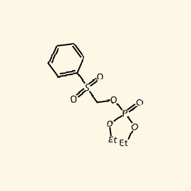 CCOP(=O)(OCC)OCS(=O)(=O)c1ccccc1